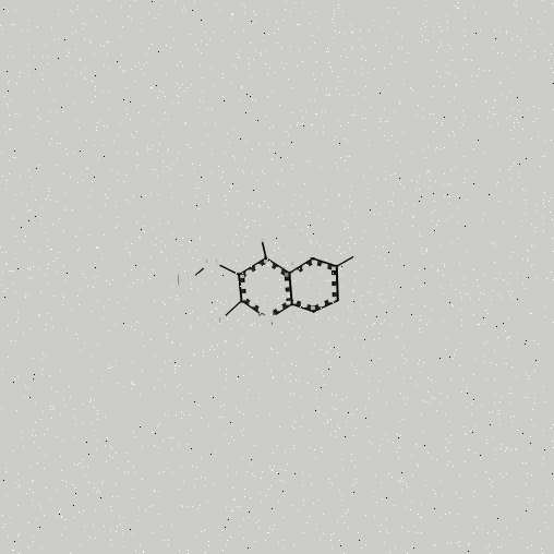 CCOC(=O)c1c(OCC)c(CC)nc2ccc(F)cc12